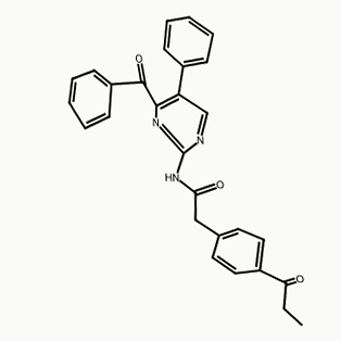 CCC(=O)c1ccc(CC(=O)Nc2ncc(-c3ccccc3)c(C(=O)c3ccccc3)n2)cc1